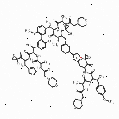 COc1ccc(C(O)C(NC(=O)C(C)NC(=O)CN2CCOCC2)C(=O)NC(CC2CCC(C3CCC=C(CC(NC(=O)C(NC(=O)C(C)NC(=O)CN4CCOCC4)C(O)c4ccc(OC)c(-c5cc(C(O)C(NC(=O)C(C)NC(=O)CN6CCOCC6)C(=O)NC(CC6=CCCC6)C(=O)C6(C)CO6)ccc5OC)c4)C(=O)C4(C)CO4)C3)C2)C(=O)C2(C)CO2)cc1